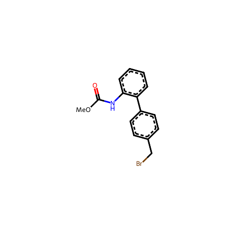 COC(=O)Nc1ccccc1-c1ccc(CBr)cc1